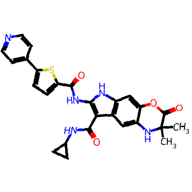 CC1(C)Nc2cc3c(C(=O)NC4CC4)c(NC(=O)c4ccc(-c5ccncc5)s4)[nH]c3cc2OC1=O